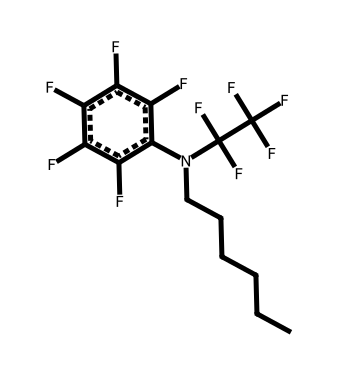 CCCCCCN(c1c(F)c(F)c(F)c(F)c1F)C(F)(F)C(F)(F)F